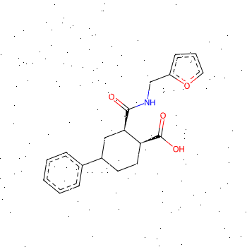 O=C(O)[C@H]1CCC(c2ccccc2)C[C@H]1C(=O)NCc1ccco1